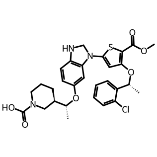 COC(=O)c1sc(N2CNc3ccc(O[C@H](C)[C@@H]4CCCN(C(=O)O)C4)cc32)cc1O[C@H](C)c1ccccc1Cl